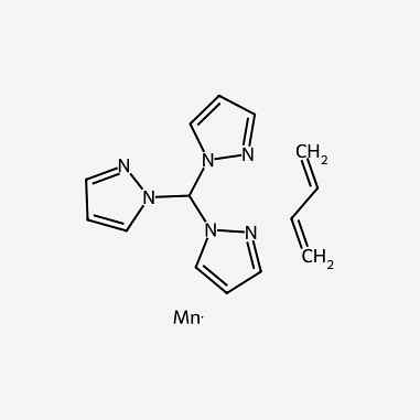 C=CC=C.[Mn].c1cnn(C(n2cccn2)n2cccn2)c1